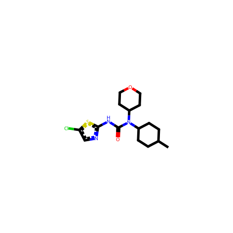 CC1CCC(N(C(=O)Nc2ncc(Cl)s2)C2CCOCC2)CC1